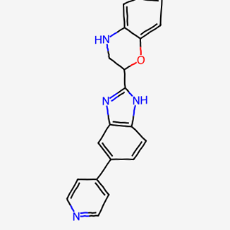 c1ccc2c(c1)NCC(c1nc3cc(-c4ccncc4)ccc3[nH]1)O2